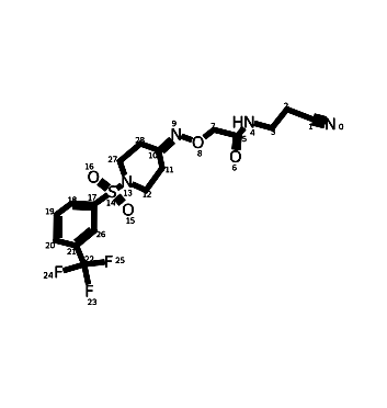 N#CCCNC(=O)CON=C1CCN(S(=O)(=O)c2cccc(C(F)(F)F)c2)CC1